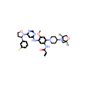 C=CC(=O)Nc1cc(Nc2cc(N3OCC[C@@H]3c3cccc(F)c3)ncn2)c(OC)cc1N1CCC(N2C[C@@H]3C[C@H]2CO3)CC1